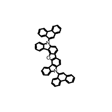 c1ccc2c(c1)cc(-n1c3ccccc3c3c4oc5c(ccc6c5c5ccccc5n6-c5cc6ccccc6c6ccccc56)c4ccc31)c1ccccc12